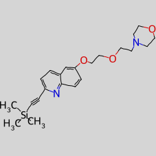 C[Si](C)(C)C#Cc1ccc2cc(OCCOCCN3CCOCC3)ccc2n1